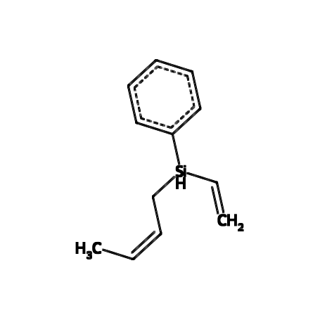 C=C[SiH](C/C=C\C)c1ccccc1